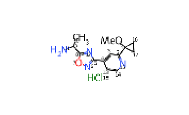 COC1(c2cc(-c3noc(C(C)N)n3)ccn2)CC1.Cl